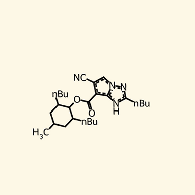 CCCCc1nn2cc(C#N)c(C(=O)OC3C(CCCC)CC(C)CC3CCCC)c2[nH]1